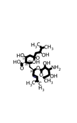 CC(C)/C=C/[C@@H](C[C@@H]1O[C@](O)(C[C@@H](O)C(C)C)C[C@H](O)[C@H]1C(=O)O)OC1OC(C)C(O)C(N)C1O